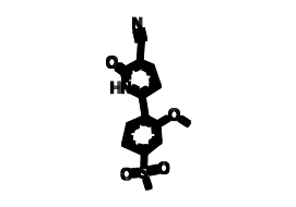 COc1cc(S(C)(=O)=O)ccc1-c1ccc(C#N)c(=O)[nH]1